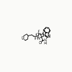 O=C(CCC1CCOCC1)NC1(C(F)(F)F)C(=O)Nc2nc3ccccc3n21